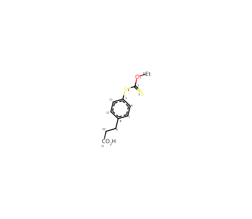 CCOC(=S)Sc1ccc(CCC(=O)O)cc1